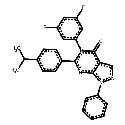 CC(C)c1ccc(-c2nc3c(cnn3-c3ccccc3)c(=O)n2-c2cc(F)cc(F)c2)cc1